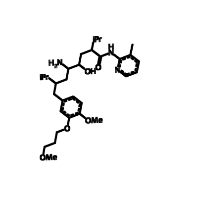 COCCCOc1cc(CC(CC(N)C(O)CC(C(=O)Nc2ncccc2C)C(C)C)C(C)C)ccc1OC